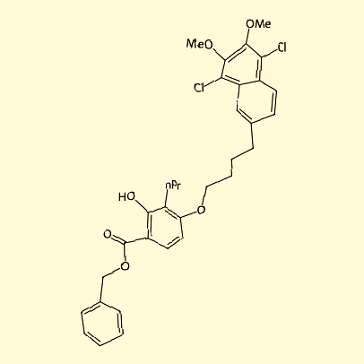 CCCc1c(OCCCCc2ccc3c(Cl)c(OC)c(OC)c(Cl)c3c2)ccc(C(=O)OCc2ccccc2)c1O